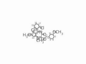 COc1cccc(C(=O)OC2N=C(c3ccccc3Cl)c3c(cn(C)c3C)N(C)C2=O)c1